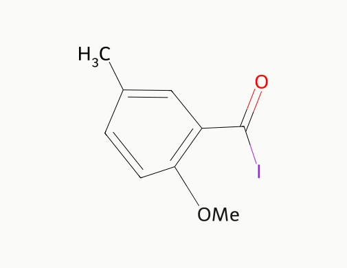 COc1ccc(C)cc1C(=O)I